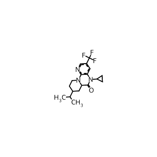 CC(C)C1CCN2c3ncc(C(F)(F)F)cc3N(C3CC3)C(=O)C2C1